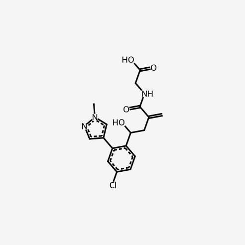 C=C(CC(O)c1ccc(Cl)cc1-c1cnn(C)c1)C(=O)NCC(=O)O